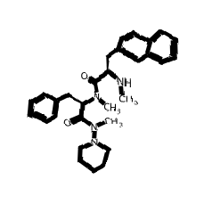 CN[C@H](Cc1ccc2ccccc2c1)C(=O)N(C)[C@H](Cc1ccccc1)C(=O)N(C)N1CCCCC1